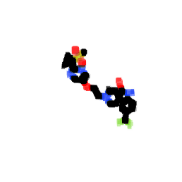 CS(=O)(=O)C1(c2ncc(OCCN3CCC4(CC3)C(=O)Nc3ccc(C(F)F)cc34)cn2)CC1